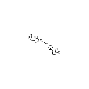 O=C1Nc2cc(OCCCCN3CCN(c4cccc(Cl)c4Cl)CC3)ccc2C2CC12F